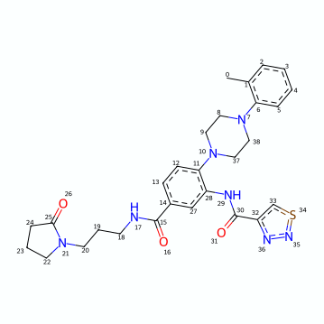 Cc1ccccc1N1CCN(c2ccc(C(=O)NCCCN3CCCC3=O)cc2NC(=O)c2csnn2)CC1